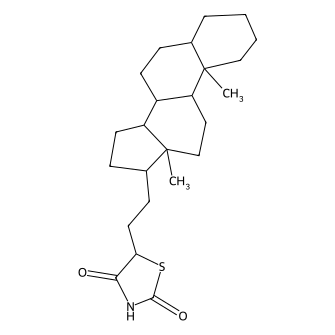 CC12CCCCC1CCC1C2CCC2(C)C(CCC3SC(=O)NC3=O)CCC12